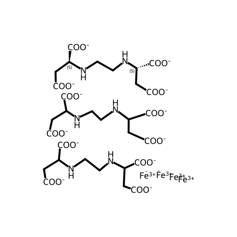 O=C([O-])CC(NCCNC(CC(=O)[O-])C(=O)[O-])C(=O)[O-].O=C([O-])CC(NCCNC(CC(=O)[O-])C(=O)[O-])C(=O)[O-].O=C([O-])C[C@H](NCCN[C@@H](CC(=O)[O-])C(=O)[O-])C(=O)[O-].[Fe+3].[Fe+3].[Fe+3].[Fe+3]